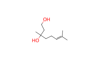 CC(C)=CCCC(C)(O)CCO